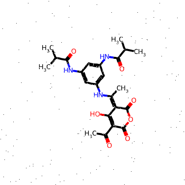 CC(=O)C1=C(O)C(=C(C)Nc2cc(NC(=O)C(C)C)cc(NC(=O)C(C)C)c2)C(=O)OC1=O